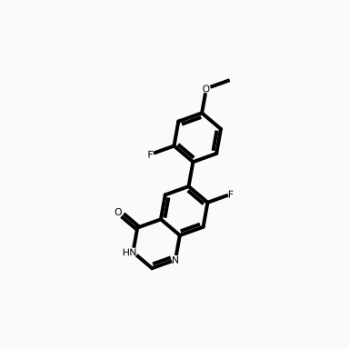 COc1ccc(-c2cc3c(=O)[nH]cnc3cc2F)c(F)c1